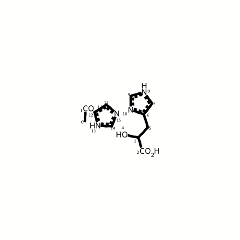 CC(=O)O.O=C(O)C(O)Cc1c[nH]cn1.c1c[nH]cn1